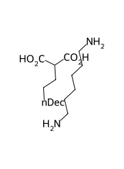 CCCCCCCCCCCCC(C(=O)O)C(=O)O.NCCCCCCN